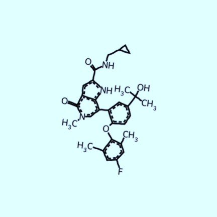 Cc1cc(F)cc(C)c1Oc1ccc(C(C)(C)O)cc1-c1cn(C)c(=O)c2cc(C(=O)NCC3CC3)[nH]c12